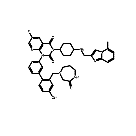 Cc1cccc2nc(CNC3CCC(n4c(=O)c5cc(F)cnc5n(-c5cccc(-c6ccc(O)cc6CN6CCCNC(=O)C6)c5)c4=O)CC3)cn12